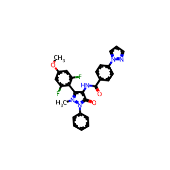 COc1cc(F)c(-c2c(NC(=O)c3ccc(-n4cccn4)cc3)c(=O)n(-c3ccccc3)n2C)c(F)c1